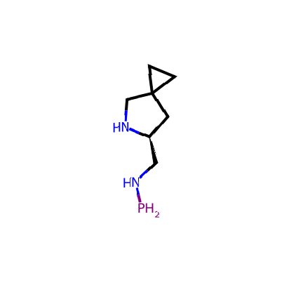 PNC[C@@H]1CC2(CC2)CN1